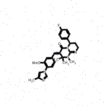 COc1cc(/C=C2/C(=O)N3C(=NCCC3c3ccc(F)cc3)N(C)C2(C)C)ccc1-n1cnc(C)c1